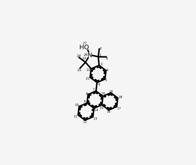 CC1(C)c2ccc(-c3cc4ccccc4c4ccccc34)cc2C(C)(C)N1O